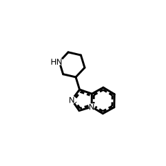 c1ccn2cnc(C3CCCNC3)c2c1